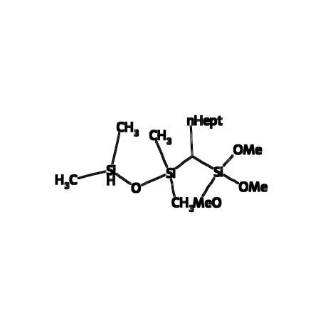 CCCCCCCC([Si](C)(C)O[SiH](C)C)[Si](OC)(OC)OC